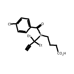 C#CC(CC)(CC)N(CCCC(=O)O)C(=O)c1ccc(Cl)cc1